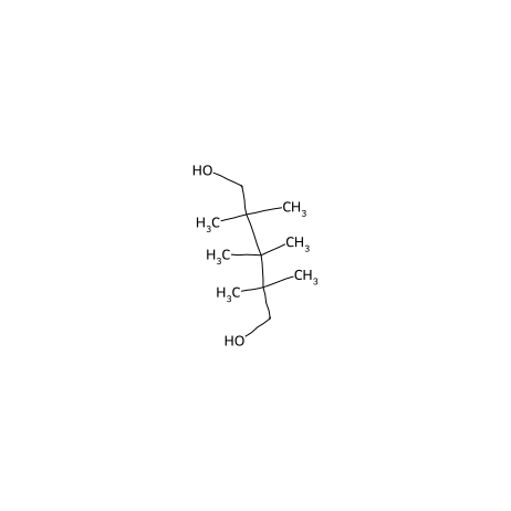 CC(C)(CO)C(C)(C)C(C)(C)CO